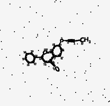 CC#COc1ccc2c(=O)cc(-c3ccccc3)oc2c1